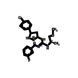 COC[C@H](C)N/C(=N/C(=O)c1cccc(F)c1)NC1CC(c2ccc(Cl)cc2)NN1